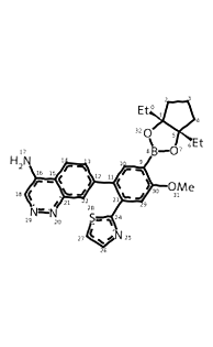 CC[C@@]12CCC[C@]1(CC)OB(c1cc(-c3ccc4c(N)cnnc4c3)c(-c3nccs3)cc1OC)O2